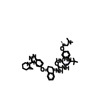 C[C@H](CN(C)C)Oc1cccc(N/C(=C\C(=N)C(C)(C)C)NC(=O)N[C@H]2CC[C@@H](Oc3ccc4nnc(N5CCCC[C@@H]5C)n4c3)c3ccccc32)c1